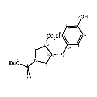 CCOC(=O)[C@H]1CN(C(=O)OCC(C)C)C[C@H]1Cc1ccc(O)cc1